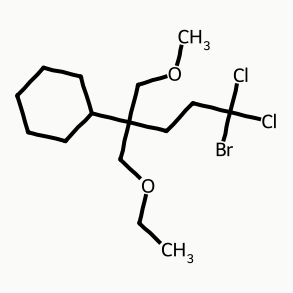 CCOCC(CCC(Cl)(Cl)Br)(COC)C1CCCCC1